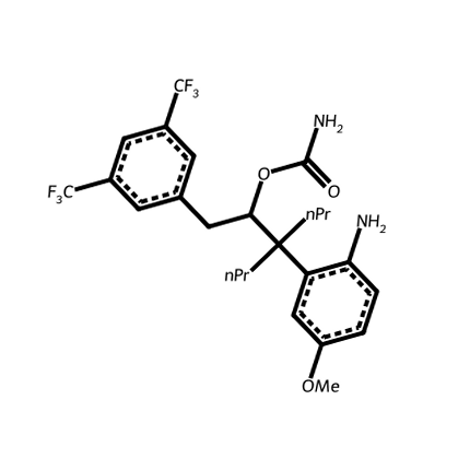 CCCC(CCC)(c1cc(OC)ccc1N)C(Cc1cc(C(F)(F)F)cc(C(F)(F)F)c1)OC(N)=O